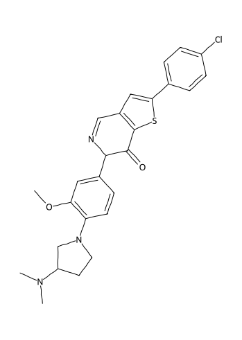 COc1cc(C2N=Cc3cc(-c4ccc(Cl)cc4)sc3C2=O)ccc1N1CCC(N(C)C)C1